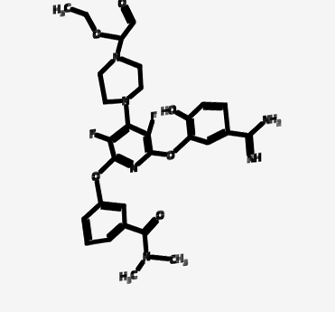 CCOC(C=O)N1CCN(c2c(F)c(Oc3cccc(C(=O)N(C)C)c3)nc(Oc3cc(C(=N)N)ccc3O)c2F)CC1